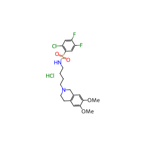 COc1cc2c(cc1OC)CN(CCCCNS(=O)(=O)c1cc(F)c(F)cc1Cl)CC2.Cl